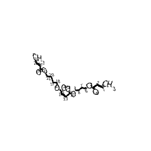 CC=CC(=O)OCCCCOC(=O)/C=C\C(=O)OCCCCOC(=O)C=CC